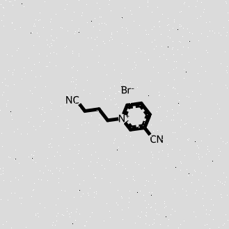 N#CCCC[n+]1cccc(C#N)c1.[Br-]